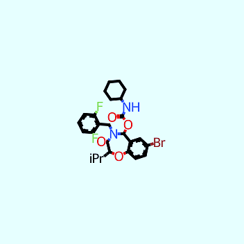 CC(C)C1Oc2ccc(Br)cc2C(OC(=O)NC2CCCCC2)N(Cc2c(F)cccc2F)C1=O